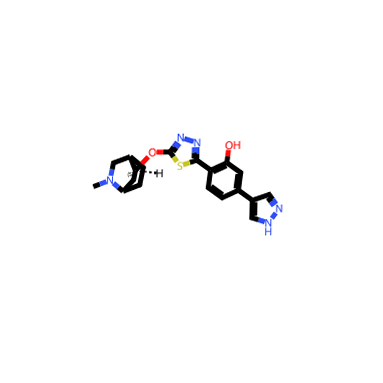 CN1CC2CCC1C[C@@H]2Oc1nnc(-c2ccc(-c3cn[nH]c3)cc2O)s1